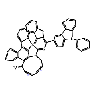 C=C1/C=C\C=C/CN(c2nc(-c3ccc4c(c3)c3ccccc3n4-c3ccccc3)c3sc4ccccc4c3n2)c2c1c1ccccc1c1c2sc2ccccc21